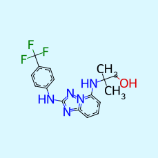 CC(C)(CO)Nc1cccc2nc(Nc3ccc(C(F)(F)F)cc3)nn12